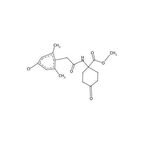 COC(=O)C1(NC(=O)Cc2c(C)cc(Cl)cc2C)CCC(=O)CC1